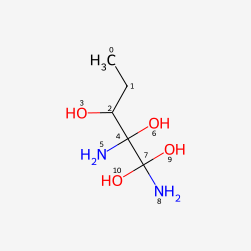 CCC(O)C(N)(O)C(N)(O)O